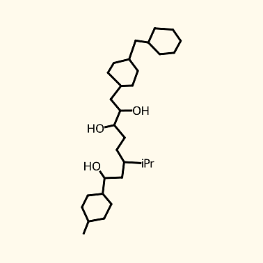 CC1CCC(C(O)CC(CCC(O)C(O)CC2CCC(CC3CCCCC3)CC2)C(C)C)CC1